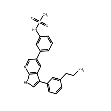 CS(=O)(=O)Nc1cccc(-c2cnc3[nH]cc(-c4cccc(CCN)c4)c3c2)c1